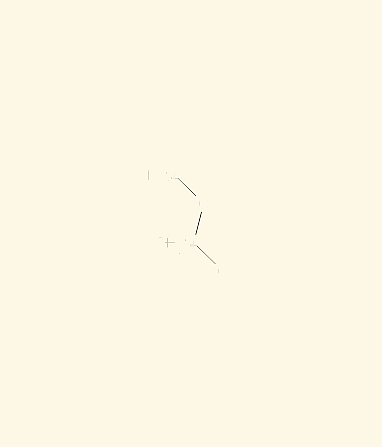 [K+].[O-][SiH2]O[SiH3]